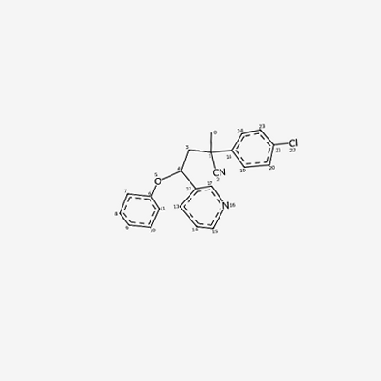 CC(C#N)(CC(Oc1ccccc1)c1cccnc1)c1ccc(Cl)cc1